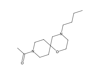 CCCCN1CCOC2(CCN(C(C)=O)CC2)C1